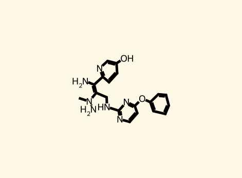 CN(N)/C(CNc1nccc(Oc2ccccc2)n1)=C(\N)c1ccc(O)cn1